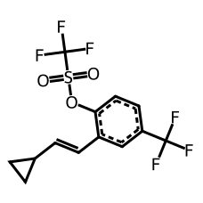 O=S(=O)(Oc1ccc(C(F)(F)F)cc1/C=C/C1CC1)C(F)(F)F